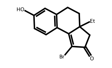 CCC12CCc3cc(O)ccc3C1=C(Br)C(=O)C2